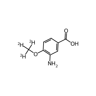 [2H]C([2H])([2H])Oc1ccc(C(=O)O)cc1N